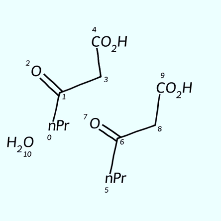 CCCC(=O)CC(=O)O.CCCC(=O)CC(=O)O.O